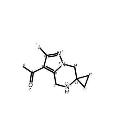 CC(=O)c1c(I)nn2c1CNC1(CC1)C2